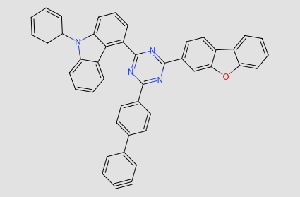 c1ccc(-c2ccc(-c3nc(-c4ccc5c(c4)oc4ccccc45)nc(-c4cccc5c4c4ccccc4n5C4C=CC=CC4)n3)cc2)cc#1